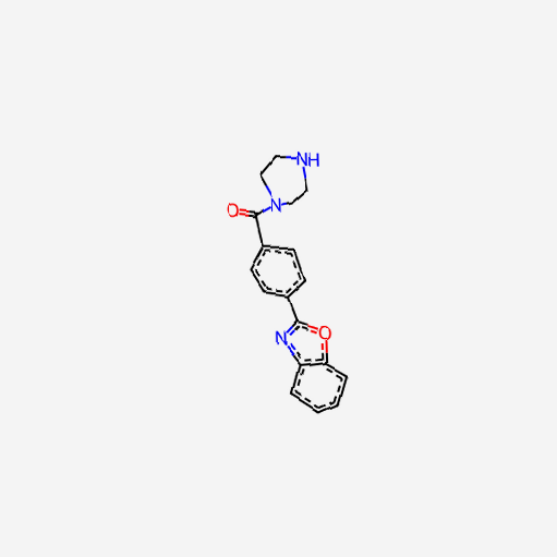 O=C(c1ccc(-c2nc3ccccc3o2)cc1)N1CCNCC1